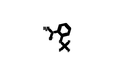 N[S+]([O-])c1ccccc1OC(F)(F)F